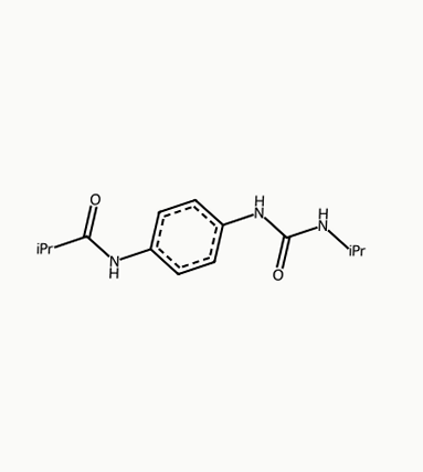 CC(C)NC(=O)Nc1ccc(NC(=O)C(C)C)cc1